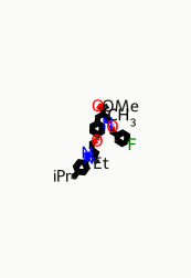 CCc1cc(COc2ccc(CC(C(=O)OC)C(C)=NOCc3ccc(F)cc3)cc2)nn1-c1ccc(CC(C)C)cc1